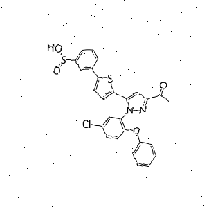 CC(=O)c1cc(-c2ccc(-c3cccc(S(=O)O)c3)s2)n(-c2cc(Cl)ccc2Oc2ccccc2)n1